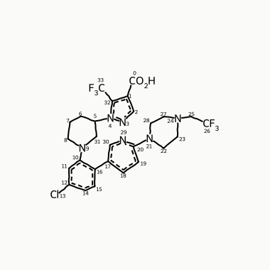 O=C(O)c1cnn(C2CCCN(c3cc(Cl)ccc3-c3ccc(N4CCN(CC(F)(F)F)CC4)nc3)C2)c1C(F)(F)F